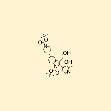 Cc1cc(-c2c(CCO)c3cc(C4CCN(C(=O)OC(C)(C)C)CC4)ccc3n2C(=O)OC(C)(C)C)c(O)c(C)n1